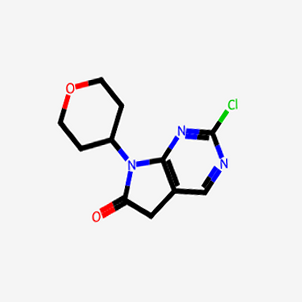 O=C1Cc2cnc(Cl)nc2N1C1CCOCC1